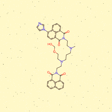 CN(CCCN(CCOCO)CCN1C(=O)c2cccc3cccc(c23)C1=O)CCN1C(=O)c2cccc3c(-n4ccnc4)ccc(c23)C1=O